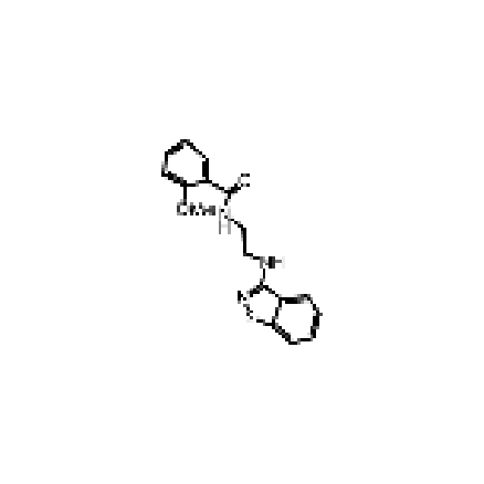 COc1ccccc1C(=O)NCCNc1nsc2ccccc12